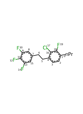 CCCc1ccc(CCc2cc(F)c(F)c(F)c2)c(Cl)c1F